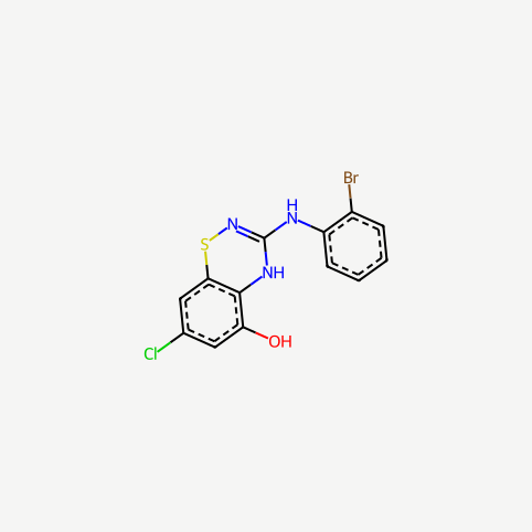 Oc1cc(Cl)cc2c1NC(Nc1ccccc1Br)=NS2